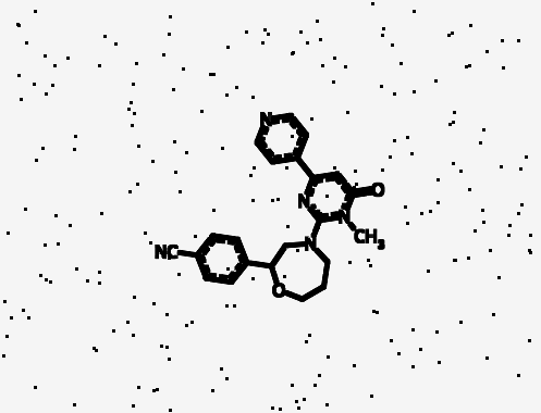 Cn1c(N2CCCOC(c3ccc(C#N)cc3)C2)nc(-c2ccncc2)cc1=O